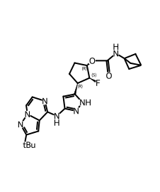 CC(C)(C)c1cc2c(Nc3cc([C@H]4CC[C@@H](OC(=O)NC56CC(C5)C6)[C@H]4F)[nH]n3)nccn2n1